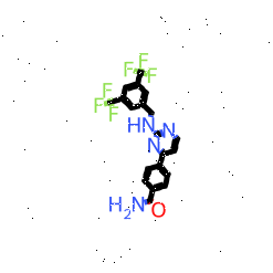 NC(=O)c1ccc(-c2ccnc(NCc3cc(C(F)(F)F)cc(C(F)(F)F)c3)n2)cc1